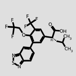 CC(C)C[C@@H](C(=O)O)c1cc(-c2ccc3nsnc3c2)c(OCC(F)(F)F)c(C(F)(F)F)c1